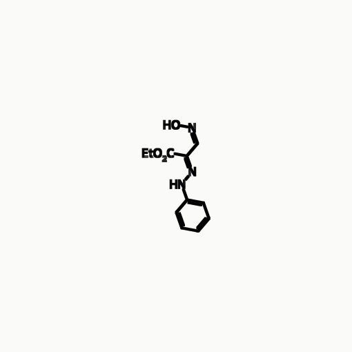 CCOC(=O)C(/C=N\O)=N\Nc1ccccc1